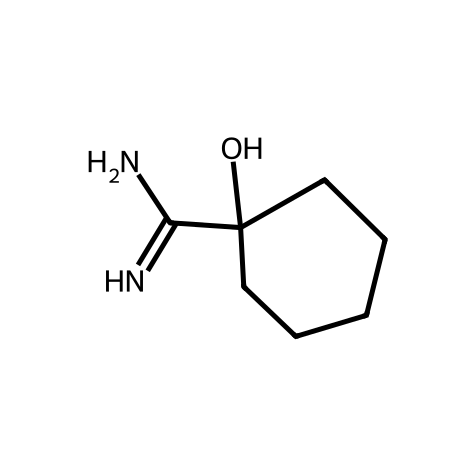 N=C(N)C1(O)CCCCC1